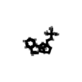 [2H]C([2H])([2H])OCC12CCC(CN(c3ccncc3OC)C1)N2